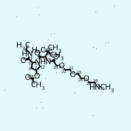 CCNC(=O)C1CC(OC(C)=O)CN1C(=O)C(NC(=O)COCCOCCOCCNC)C(C)(C)C